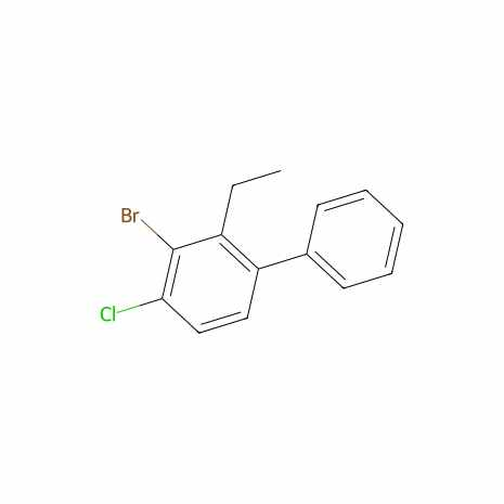 CCc1c(-c2ccccc2)ccc(Cl)c1Br